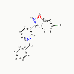 Fc1ccc2c(-c3ccc[n+](Cc4ccccc4)c3)noc2c1